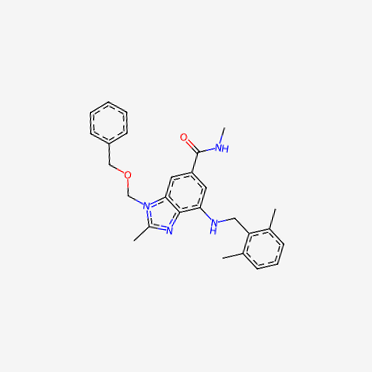 CNC(=O)c1cc(NCc2c(C)cccc2C)c2nc(C)n(COCc3ccccc3)c2c1